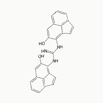 N=C(Nc1c(O)cc2cccc3c2c1C=C3)Nc1c(O)cc2cccc3c2c1C=C3